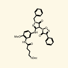 CCCCCCCCCCCCCC(=O)Nc1cc(NC2=NN(Cc3ccccc3)C(=O)C2n2onc(-c3ccccc3)c2=O)ccc1OC